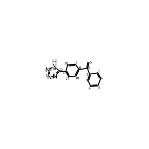 C=C(c1ccccc1)c1ccc(-c2nnn[nH]2)cc1